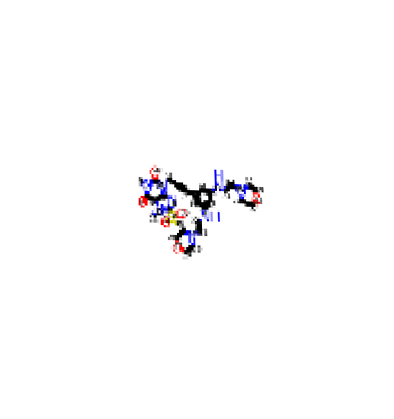 Cn1c(=O)c2c(nc(S(C)(=O)=O)n2C)n(CC#Cc2cc(NCCN3CCOCC3)cc(NCCN3CCOCC3)c2)c1=O